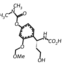 COCOc1cc(OC(=O)N(C)C)ccc1[C@@H](CCO)NC(=O)O